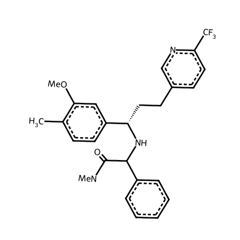 CNC(=O)C(N[C@@H](CCc1ccc(C(F)(F)F)nc1)c1ccc(C)c(OC)c1)c1ccccc1